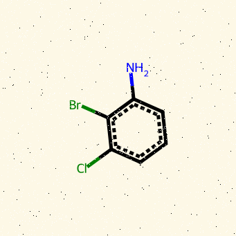 Nc1cc[c]c(Cl)c1Br